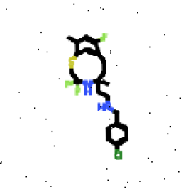 CC1C=C(F)C2=CC1SCC(F)(F)NC(C)(CCNCc1ccc(Cl)cc1)CC2